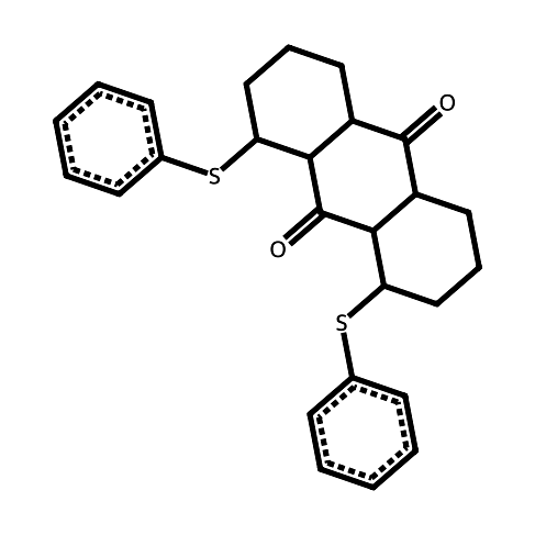 O=C1C2CCCC(Sc3ccccc3)C2C(=O)C2C(Sc3ccccc3)CCCC12